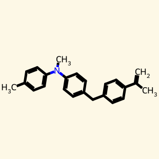 C=C(C)c1ccc(Cc2ccc(N(C)c3ccc(C)cc3)cc2)cc1